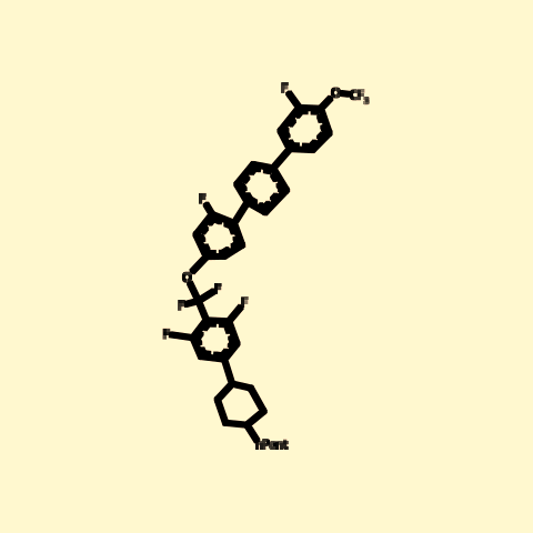 CCCCCC1CCC(c2cc(F)c(C(F)(F)Oc3ccc(-c4ccc(-c5ccc(OC(F)(F)F)c(F)c5)cc4)c(F)c3)c(F)c2)CC1